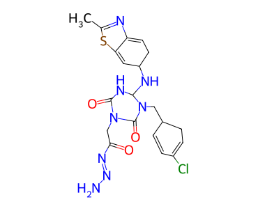 Cc1nc2c(s1)=CC(NC1NC(=O)N(CC(=O)N=NN)C(=O)N1CC1C=CC(Cl)=CC1)CC=2